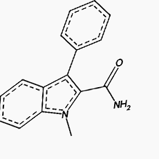 Cn1c(C(N)=O)c(-c2ccccc2)c2ccccc21